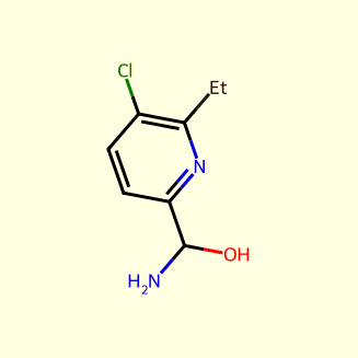 CCc1nc(C(N)O)ccc1Cl